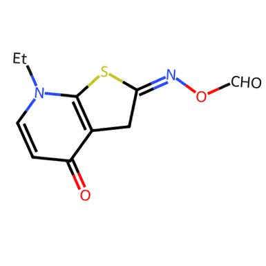 CCn1ccc(=O)c2c1SC(=NOC=O)C2